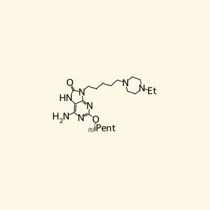 CCC[C@H](C)Oc1nc(N)c2[nH]c(=O)n(CCCCCN3CCN(CC)CC3)c2n1